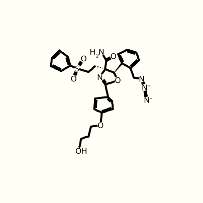 [N-]=[N+]=NCc1ccccc1[C@H]1OC(c2ccc(OCCCO)cc2)=N[C@@]1(CCS(=O)(=O)c1ccccc1)C(N)=O